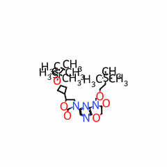 CC(C)(C)[Si](C)(C)OC1CC(C2CN(c3cnc4c(n3)N(COCC[Si](C)(C)C)C(=O)CO4)C(=O)O2)C1